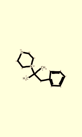 CC(C)(Cc1ccccc1)N1CCOCC1